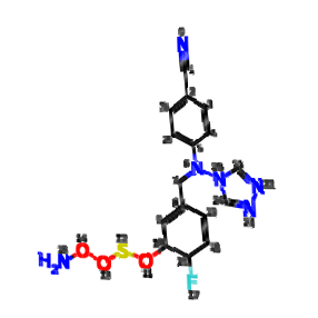 N#Cc1ccc(N(CC2=CC(OSOON)C(F)C=C2)n2cnnc2)cc1